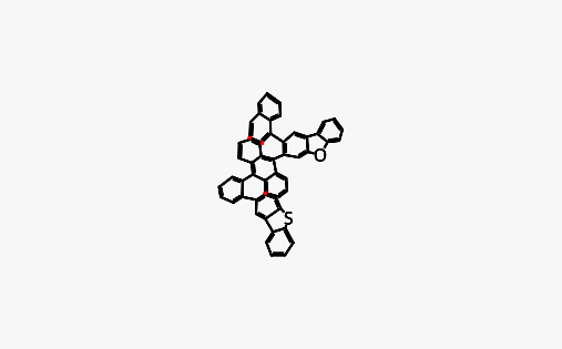 c1ccc(-c2c3ccccc3c(-c3cc4oc5ccccc5c4cc3-c3cccc4ccccc34)c3ccccc23)c(-c2ccc3sc4ccccc4c3c2)c1